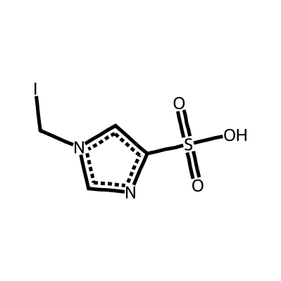 O=S(=O)(O)c1cn(CI)cn1